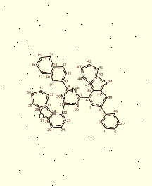 c1ccc(-c2cc(-c3nc(-c4ccc5ccccc5c4)nc(-c4cccc5oc6ccccc6c45)n3)c3c(c2)sc2ccccc23)cc1